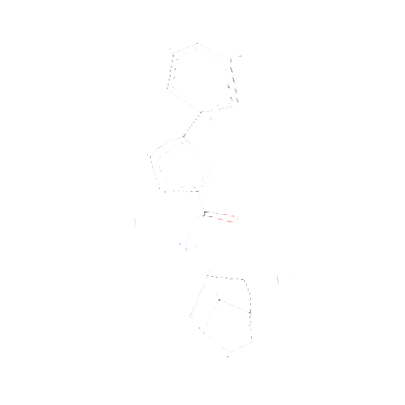 Cl.O=C(N[C@@H]1C[C@H]2CCN(C2)C1)c1ncc(-c2ccccc2)o1